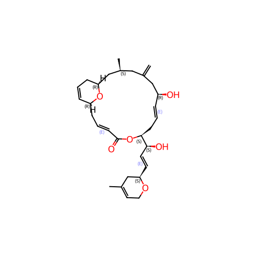 C=C1C[C@H](C)C[C@@H]2CC=C[C@@H](C/C=C/C(=O)O[C@H]([C@@H](O)/C=C/[C@@H]3CC(C)=CCO3)C/C=C/[C@H](O)C1)O2